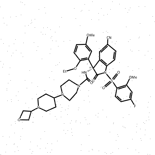 CCOc1ccc(OC)cc1[C@]1(NC(=O)N2CCN(C3CCN(C4COC4)CC3)CC2)C(=O)N(S(=O)(=O)c2ccc(F)cc2OC)c2ccc(C#N)cc21